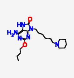 CCCCOc1nc(N)c2[nH]c(=O)n(CCCCCCN3CCCCC3)c2n1